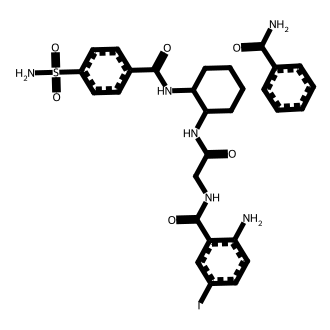 NC(=O)c1ccccc1.Nc1ccc(I)cc1C(=O)NCC(=O)NC1CCCCC1NC(=O)c1ccc(S(N)(=O)=O)cc1